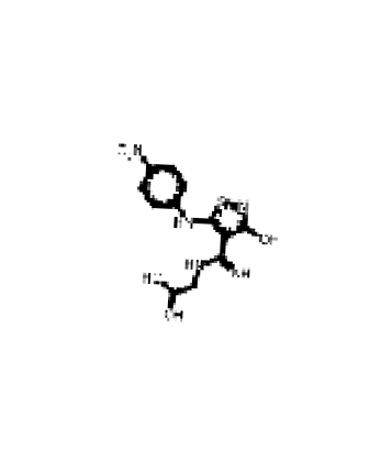 N=C(NCC(O)O)c1c(O)nsc1Nc1ccc([N+](=O)[O-])cc1